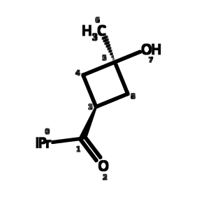 CC(C)C(=O)[C@H]1C[C@@](C)(O)C1